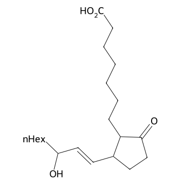 CCCCCCC(O)/C=C/C1CCC(=O)C1CCCCCCC(=O)O